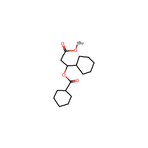 CC(C)(C)OC(=O)CC(OC(=O)C1CCCCC1)C1CCCCC1